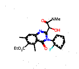 CCOC(=O)c1c(C)cc2nc(C(O)C(=O)NC)n(-c3ccccc3F)c(=O)c2c1C